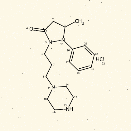 CC1CC(=O)N(CCCN2CCNCC2)N1c1ccccc1.Cl